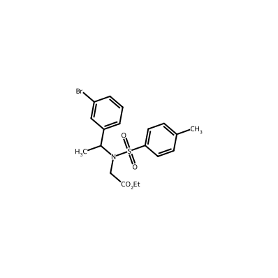 CCOC(=O)CN(C(C)c1cccc(Br)c1)S(=O)(=O)c1ccc(C)cc1